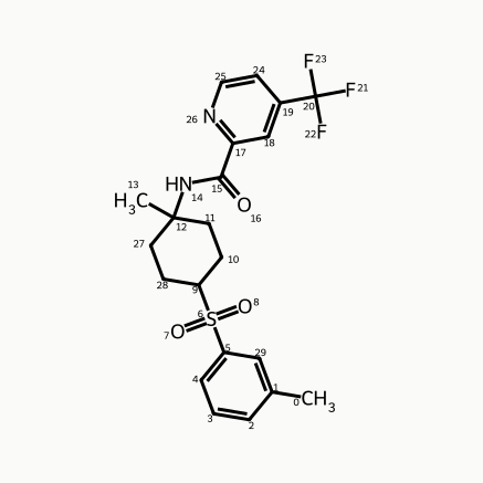 Cc1cccc(S(=O)(=O)C2CCC(C)(NC(=O)c3cc(C(F)(F)F)ccn3)CC2)c1